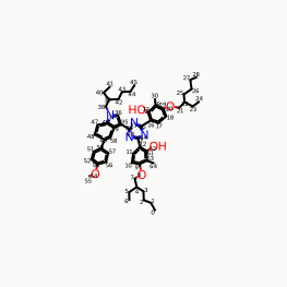 CCCCC(CC)COc1ccc(-c2nc(-c3ccc(OCC(CC)CCCC)c(C)c3O)nc(-c3cn(CC(CC)CCCC)c4ccc(-c5ccc(OC)cc5)cc34)n2)c(O)c1C